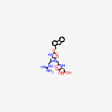 N=C(N)NCCC[C@H](NC(=O)OCc1cccc2c1Cc1ccccc1-2)C(=O)NCC(=O)N[C@@H](CC(=O)O)C(=O)O